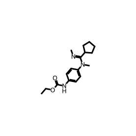 CCOC(=O)Nc1ccc(N(C)C(=NC)C2CCCC2)cc1